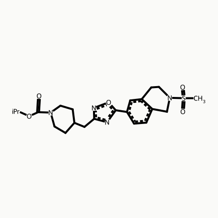 CC(C)OC(=O)N1CCC(Cc2noc(-c3ccc4c(c3)CCN(S(C)(=O)=O)C4)n2)CC1